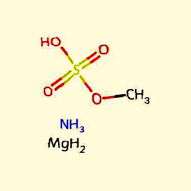 COS(=O)(=O)O.N.[MgH2]